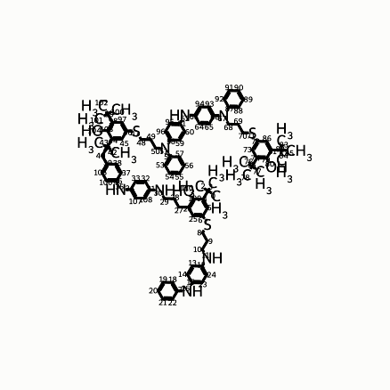 CC(C)(C)c1cc(SCCCNc2ccc(Nc3ccccc3)cc2)cc(CCCNc2ccc(Nc3ccc(CC(C)(C)c4cc(SCCCN(c5ccccc5)c5ccc(Nc6ccc(N(CCCSc7cc(C(C)(C)C)c(O)c(C(C)(C)C)c7)c7ccccc7)cc6)cc5)cc(C(C)(C)C)c4O)cc3)cc2)c1O